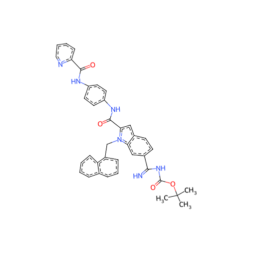 CC(C)(C)OC(=O)NC(=N)c1ccc2cc(C(=O)Nc3ccc(NC(=O)c4ccccn4)cc3)n(Cc3cccc4ccccc34)c2c1